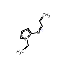 C=C/C=N\c1cccn1C=C